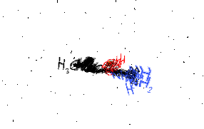 CCCCCCCCCCCCCCOC(=O)[C@@H](N)CCCNC(=N)N.O=P(O)(O)O